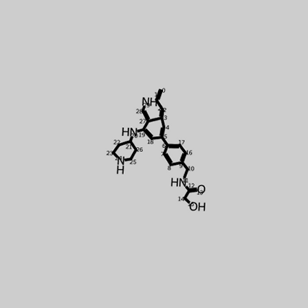 C=C/C=c1/cc(-c2ccc(CNC(=O)CO)cc2)cc(NC2CCNCC2)/c1=C/N